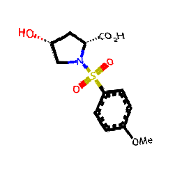 COc1ccc(S(=O)(=O)N2C[C@H](O)C[C@@H]2C(=O)O)cc1